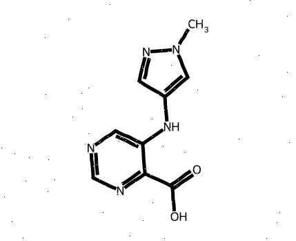 Cn1cc(Nc2cncnc2C(=O)O)cn1